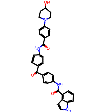 O=C(Nc1ccc(C(=O)c2ccc(NC(=O)c3cccc4[nH]c[c]c34)cc2)cc1)c1ccc(N2CCC(O)CC2)cc1